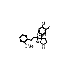 COc1ccccc1CCC(C(C)=O)(C1(c2ccc(Cl)c(Cl)c2)CCNC1)S(=O)(=O)O